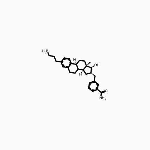 BCCCc1ccc2c(c1)CCC1[C@@H]2CC[C@@]2(C)[C@H]1C[C@H](Cc1cccc(C(N)=O)c1)[C@@H]2O